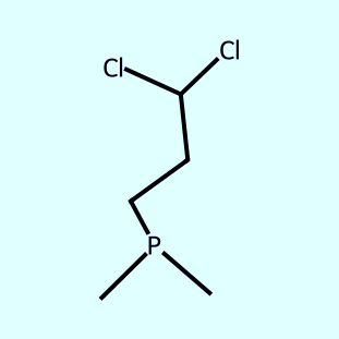 CP(C)CCC(Cl)Cl